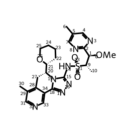 CO[C@H](c1ncc(C)cn1)[C@H](C)S(=O)(=O)Nc1nnc2n1[C@@H]([C@H]1CCCCO1)Cc1c(C)cncc1-2